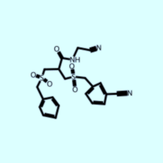 N#CCNC(=O)C(CS(=O)(=O)Cc1ccccc1)CS(=O)(=O)Cc1cccc(C#N)c1